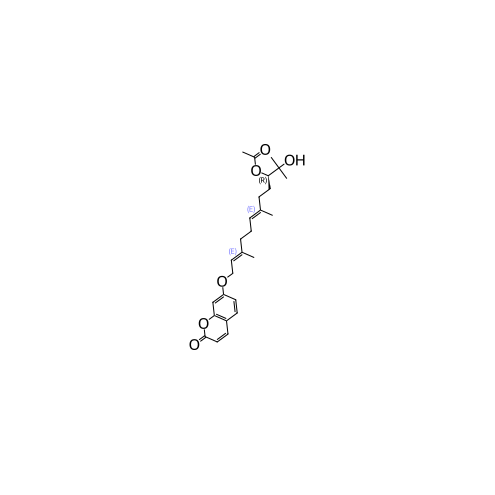 CC(=O)O[C@H](CC/C(C)=C/CC/C(C)=C/COc1ccc2ccc(=O)oc2c1)C(C)(C)O